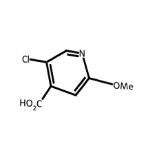 COc1cc(C(=O)O)c(Cl)cn1